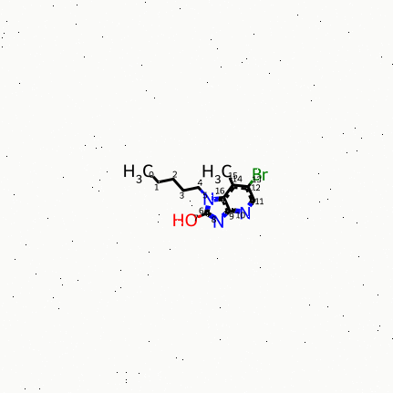 CCCCCn1c(O)nc2ncc(Br)c(C)c21